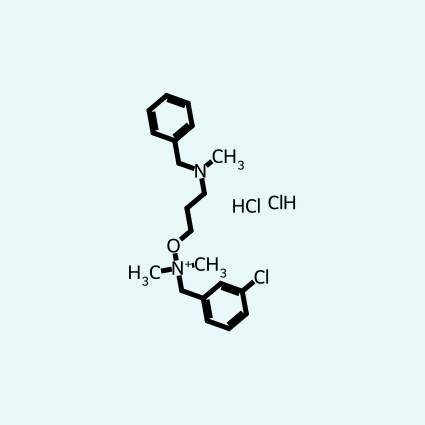 CN(CCCO[N+](C)(C)Cc1cccc(Cl)c1)Cc1ccccc1.Cl.Cl